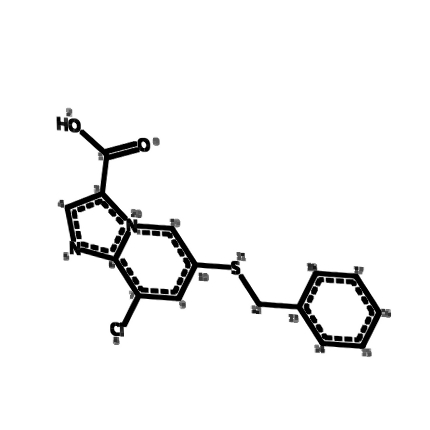 O=C(O)c1cnc2c(Cl)cc(SCc3ccccc3)cn12